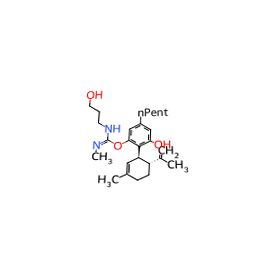 C=C(C)[C@@H]1CCC(C)=C[C@H]1c1c(O)cc(CCCCC)cc1O/C(=N\C)NCCCO